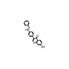 O=c1c(-c2ccc(NCc3ccccc3)cc2)coc2cc(O)ccc12